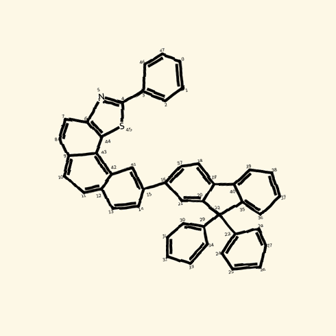 c1ccc(-c2nc3ccc4ccc5ccc(-c6ccc7c(c6)C(c6ccccc6)(c6ccccc6)c6ccccc6-7)cc5c4c3s2)cc1